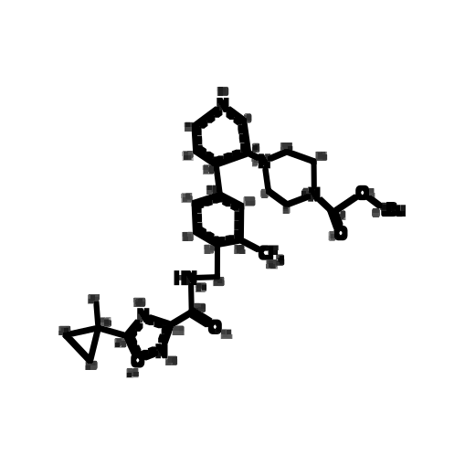 CC(C)(C)OC(=O)N1CCN(c2cnccc2-c2ccc(CNC(=O)c3noc(C4(C)CC4)n3)c(C(F)(F)F)c2)CC1